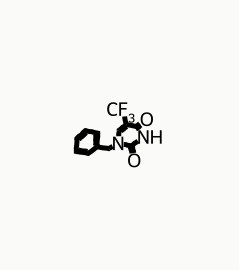 O=c1[nH]c(=O)n(Cc2ccccc2)cc1C(F)(F)F